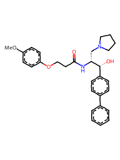 COc1ccc(OCCC(=O)N[C@H](CN2CCCC2)[C@H](O)c2ccc(-c3ccccc3)cc2)cc1